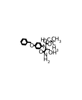 CC(C)(C)OC(=O)N(c1ccc(OCc2ccccc2)cc1)[C@@H](CO)C(N)=O